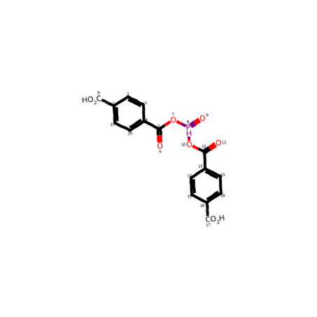 O=C(O)c1ccc(C(=O)O[PH](=O)OC(=O)c2ccc(C(=O)O)cc2)cc1